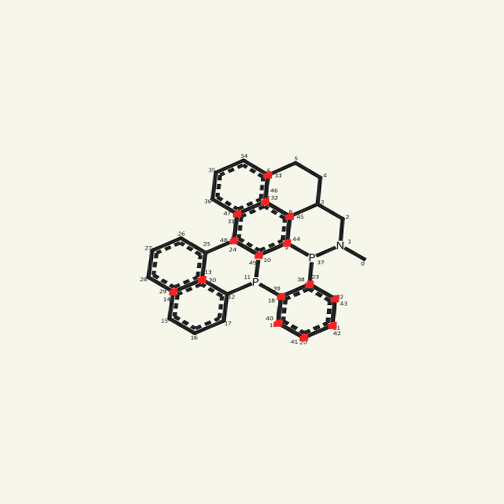 CN(CC1CCCCC1CN(P(c1ccccc1)c1ccccc1)P(c1ccccc1)c1ccccc1)P(c1ccccc1)c1ccccc1